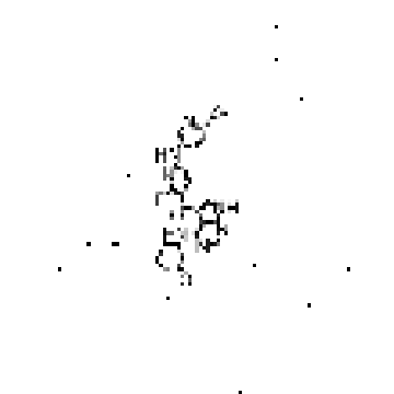 O=C1CCCC(Nc2ncnc3[nH]cc(C(=O)c4ccc(Nc5ccc(C6CC6)nc5)nc4F)c23)C1